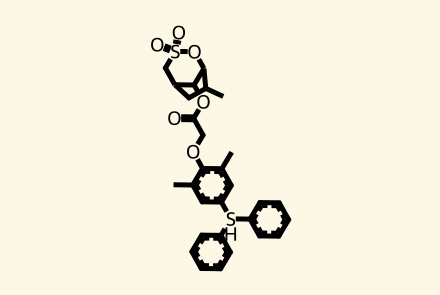 Cc1cc([SH](c2ccccc2)c2ccccc2)cc(C)c1OCC(=O)OC1C2CC(C)C1OS(=O)(=O)C2